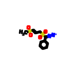 CS(=O)(=O)C=CCS(=O)(=O)C(=[N+]=[N-])C1CCCCC1